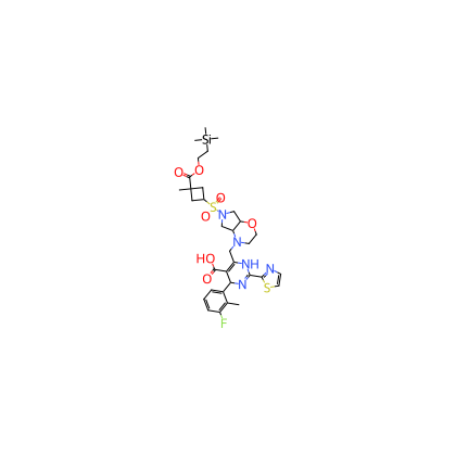 Cc1c(F)cccc1C1N=C(c2nccs2)NC(CN2CCOC3CN(S(=O)(=O)C4CC(C)(C(=O)OCC[Si](C)(C)C)C4)CC32)=C1C(=O)O